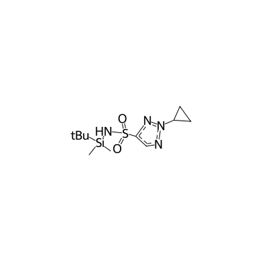 CC(C)(C)[Si](C)(C)NS(=O)(=O)c1cnn(C2CC2)n1